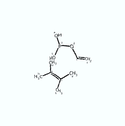 C=COB(O)O.CC(C)=C(C)C